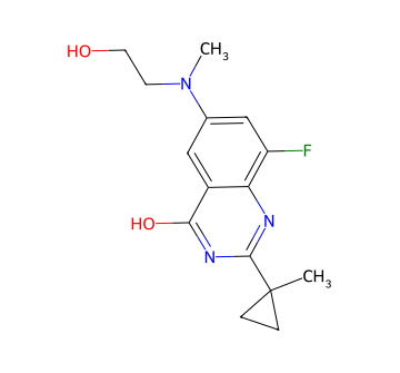 CN(CCO)c1cc(F)c2nc(C3(C)CC3)nc(O)c2c1